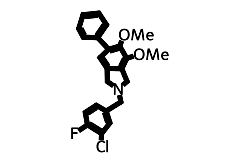 COc1c(-c2ccccc2)cc2c(c1OC)CN(Cc1ccc(F)c(Cl)c1)C2